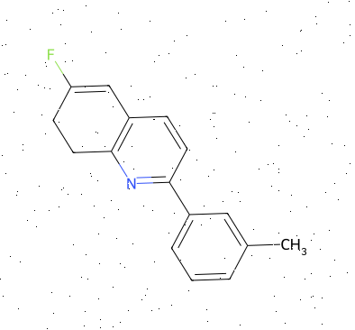 Cc1cccc(-c2ccc3c(n2)CCC(F)=C3)c1